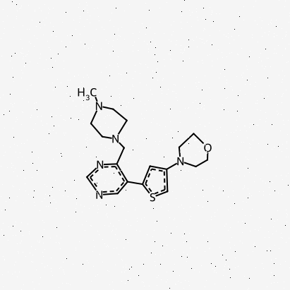 CN1CCN(Cc2ncncc2-c2cc(N3CCOCC3)cs2)CC1